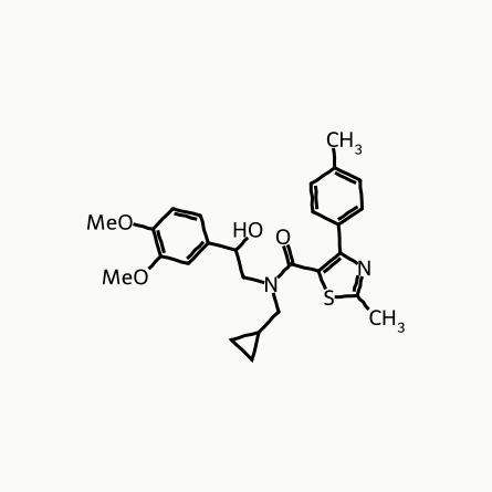 COc1ccc(C(O)CN(CC2CC2)C(=O)c2sc(C)nc2-c2ccc(C)cc2)cc1OC